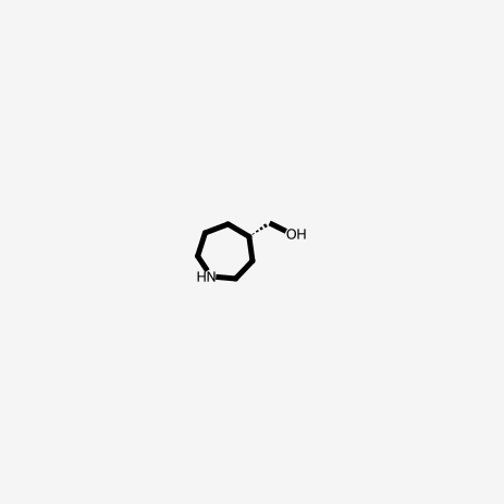 OC[C@H]1CCCNCC1